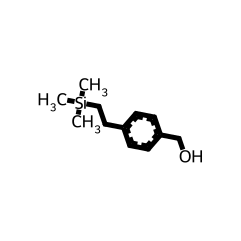 C[Si](C)(C)CCc1ccc(CO)cc1